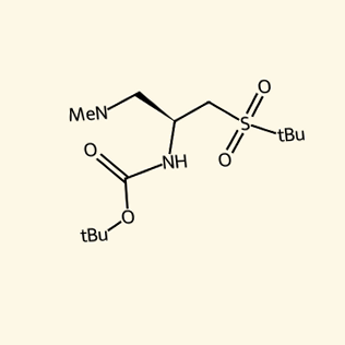 CNC[C@@H](CS(=O)(=O)C(C)(C)C)NC(=O)OC(C)(C)C